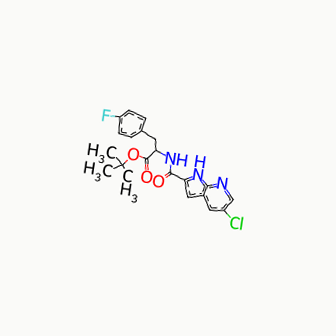 CC(C)(C)OC(=O)C(Cc1ccc(F)cc1)NC(=O)c1cc2cc(Cl)cnc2[nH]1